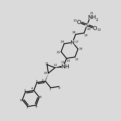 CC/C(=C\c1ccccc1)[C@@H]1C[C@H]1NC1CCN(CCS(N)(=O)=O)CC1